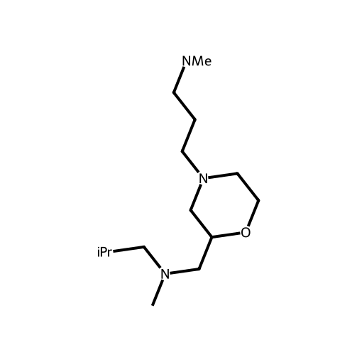 CNCCCN1CCOC(CN(C)CC(C)C)C1